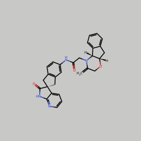 C=C1CO[C@H]2Cc3ccccc3[C@H]2N1CC(=O)Nc1ccc2c(c1)C[C@@]1(C2)C(=O)Nc2ncccc21